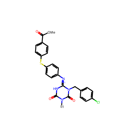 CCn1c(=O)[nH]/c(=N\c2ccc(Sc3ccc(C(=O)OC)cc3)cc2)n(Cc2ccc(Cl)cc2)c1=O